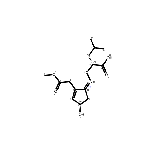 COC(=O)CC1=C[C@H](O)C/C1=N/O[C@H](CC(C)C)C(=O)O